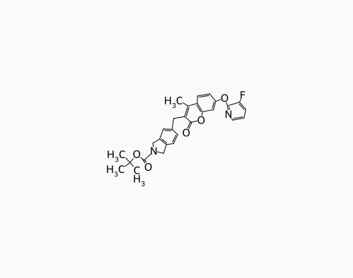 Cc1c(Cc2ccc3c(c2)CN(C(=O)OC(C)(C)C)C3)c(=O)oc2cc(Oc3ncccc3F)ccc12